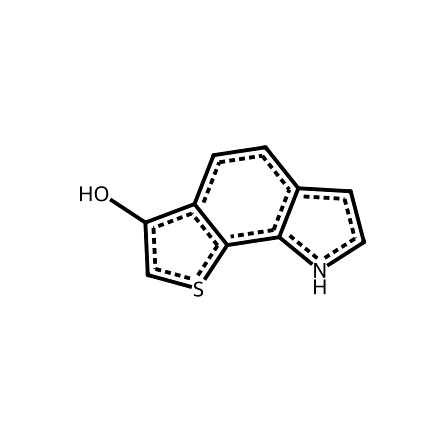 Oc1csc2c1ccc1cc[nH]c12